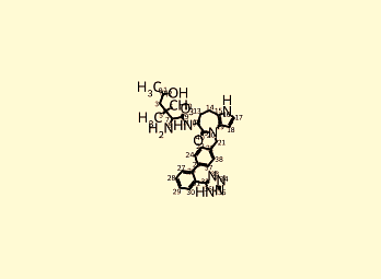 C[C@@H](O)CC(C)(C)C(N)C(=O)N[C@@H]1CCc2[nH]ccc2N(Cc2ccc(-c3ccccc3-c3nnn[nH]3)cc2)C1=O